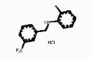 Cc1ccccc1NCc1cccc(C(F)(F)F)c1.Cl